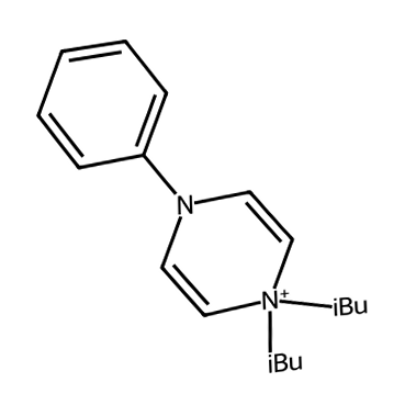 CCC(C)[N+]1(C(C)CC)C=CN(c2ccccc2)C=C1